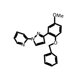 COc1ccc(OCc2ccccc2)c(-c2ccn(-c3ccccn3)n2)c1